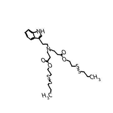 CCCSSCCOC(=O)CCN(CCC(=O)OCCSSCCC)CCc1c[nH]c2ccccc12